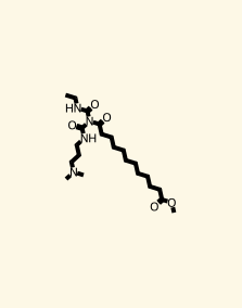 CCNC(=O)N(C(=O)CCCCCCCCCCC(=O)OC)C(=O)NCCCN(C)C